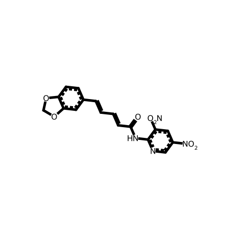 O=C(C=CC=Cc1ccc2c(c1)OCO2)Nc1ncc([N+](=O)[O-])cc1[N+](=O)[O-]